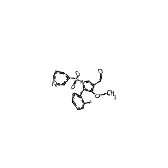 COc1c(C=O)cn(S(=O)(=O)c2cccnc2)c1-c1ccccc1F